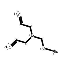 C=CCN(CC=C)COCCCC